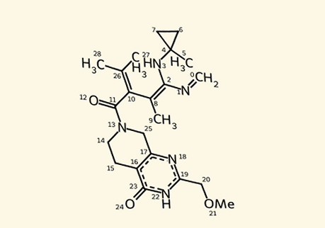 C=N/C(NC1(C)CC1)=C(\C)C(C(=O)N1CCc2c(nc(COC)[nH]c2=O)C1)=C(C)C